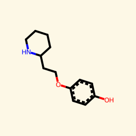 Oc1ccc(OCCC2CCCCN2)cc1